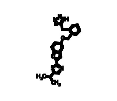 CC(C)c1cnc(-c2cc3cc(OCc4ccccc4Cc4nnn[nH]4)ccc3o2)s1